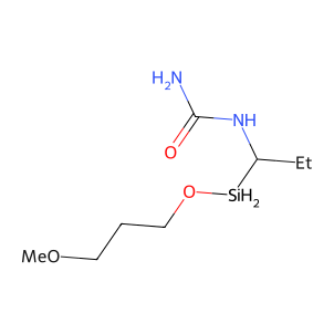 CCC(NC(N)=O)[SiH2]OCCCOC